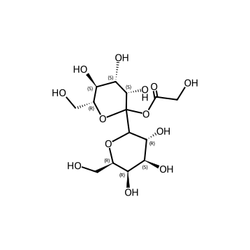 O=C(CO)OC1(C2O[C@H](CO)[C@H](O)[C@H](O)[C@H]2O)O[C@H](CO)[C@@H](O)[C@H](O)[C@@H]1O